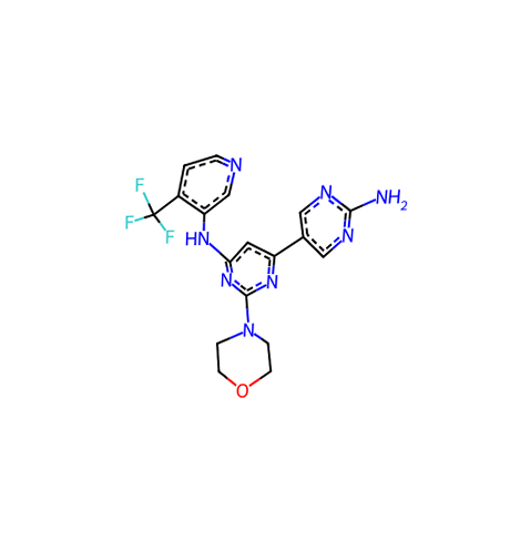 Nc1ncc(-c2cc(Nc3cnccc3C(F)(F)F)nc(N3CCOCC3)n2)cn1